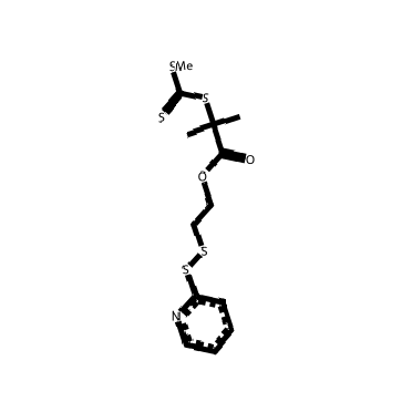 CSC(=S)SC(C)(C)C(=O)OCCSSc1ccccn1